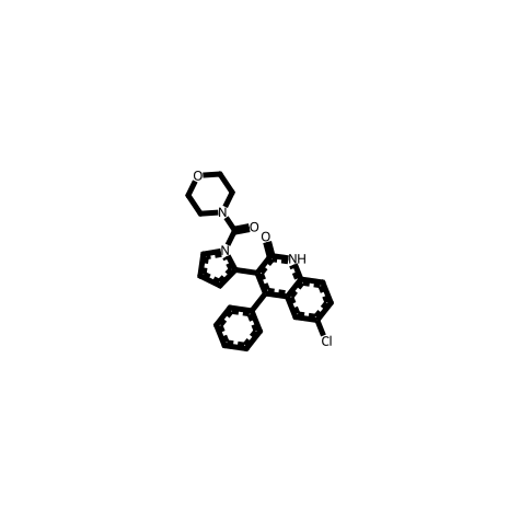 O=C(N1CCOCC1)n1cccc1-c1c(-c2ccccc2)c2cc(Cl)ccc2[nH]c1=O